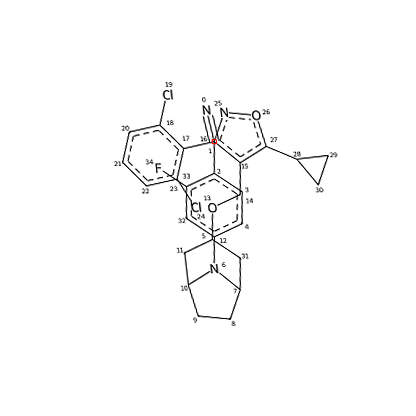 N#Cc1ccc(N2C3CCC2CC(OCc2c(-c4c(Cl)cccc4Cl)noc2C2CC2)C3)cc1F